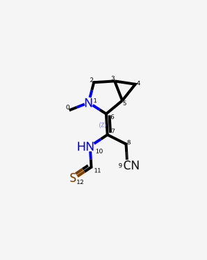 CN1CC2CC2/C1=C(\CC#N)NC=S